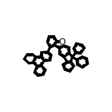 C1=Cc2c(c3ccccc3c3ccc(-c4cccc5oc6cc7c(cc6c45)-c4ccccc4C7(c4ccccc4)c4ccccc4)cc23)CC1